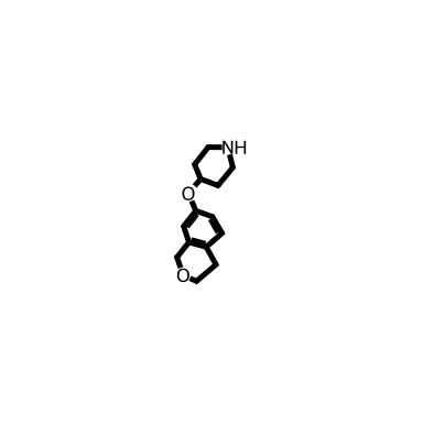 c1cc2c(cc1OC1CCNCC1)COCC2